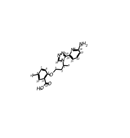 CC(CCOc1ccc(I)cc1C(=O)O)n1cnnc1-c1cccc(N)n1